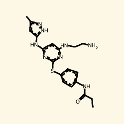 CCC(=O)Nc1ccc(Sc2nc(NCCN)cc(Nc3cc(C)n[nH]3)n2)cc1